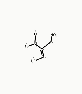 CC=C(C[N+](=O)[O-])[S+]([O-])CC